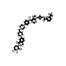 O=C1CC[C@H](n2nnc3ccc(N4CCC(CN5CCN(c6ccc(Nc7ncnc8c7ncn8C7CC(NC(=O)c8cccc(C(F)(F)F)n8)C7)cc6)CC5)CC4)cc3c2=O)C(=O)N1